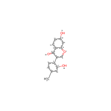 Cc1ccc(-c2coc3cc(O)ccc3c2=O)c(O)c1